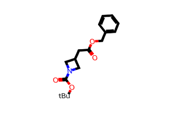 CC(C)(C)OC(=O)N1CC(CC(=O)OCc2ccccc2)C1